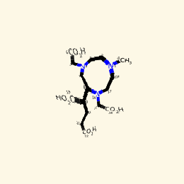 CN1CCN(CC(=O)O)CC(C(CCC(=O)O)C(=O)O)N(CC(=O)O)CC1